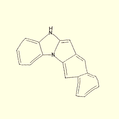 c1ccc2cc3c(cc2c1)cc1[nH]c2ccccc2n13